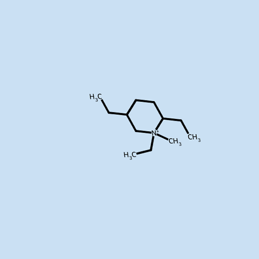 CCC1CCC(CC)[N+](C)(CC)C1